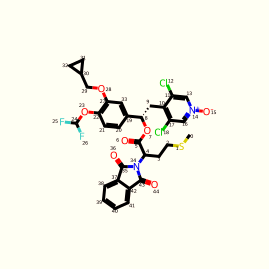 CSCCC(C(=O)O[C@@H](Cc1c(Cl)c[n+]([O-])cc1Cl)c1ccc(OC(F)F)c(OCC2CC2)c1)N1C(=O)c2ccccc2C1=O